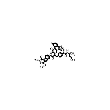 CC(CCO)NC(=O)Nc1ccc(CC(C(=O)Nc2ccc3c(c2)cc(C(=O)OC(C)(C)C)n3C(=O)OC(C)(C)C)N2CCN(c3cc(Cl)ccc3-n3cnnn3)C(=O)C2=O)cc1